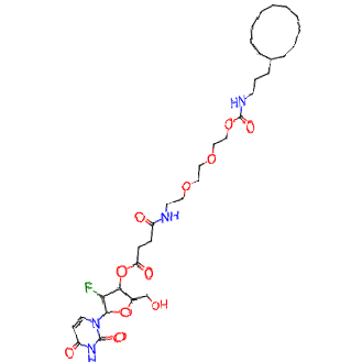 O=C(CCC(=O)OC1C(CO)OC(n2ccc(=O)[nH]c2=O)C1F)NCCOCCOCCOC(=O)NCCCC1CCCCCCCCCC1